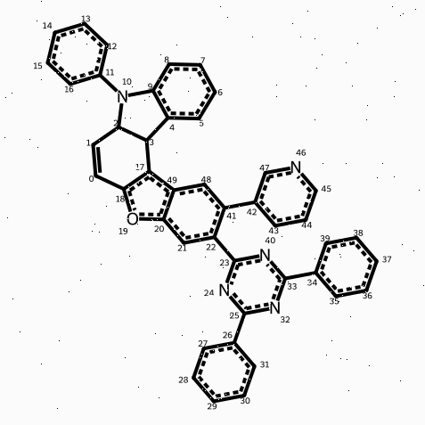 C1=CC2C(c3ccccc3N2c2ccccc2)c2c1oc1cc(-c3nc(-c4ccccc4)nc(-c4ccccc4)n3)c(-c3cccnc3)cc21